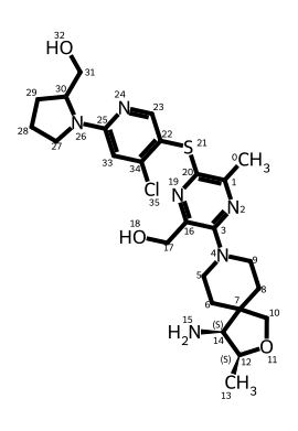 Cc1nc(N2CCC3(CC2)CO[C@@H](C)[C@H]3N)c(CO)nc1Sc1cnc(N2CCCC2CO)cc1Cl